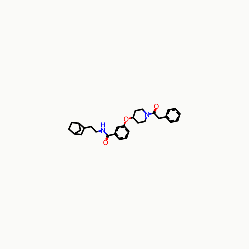 O=C(NCCC1CC2CCC1C2)c1cccc(OC2CCN(C(=O)Cc3ccccc3)CC2)c1